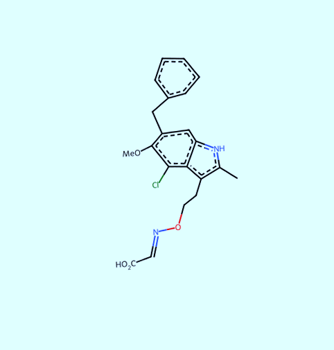 COc1c(Cc2ccccc2)cc2[nH]c(C)c(CCON=CC(=O)O)c2c1Cl